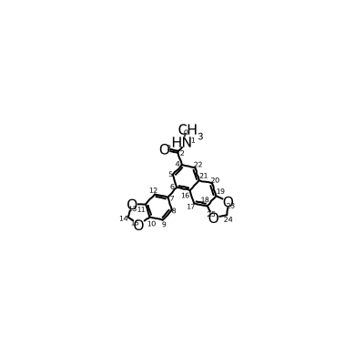 CNC(=O)c1cc(-c2ccc3c(c2)OCO3)c2cc3c(cc2c1)OCO3